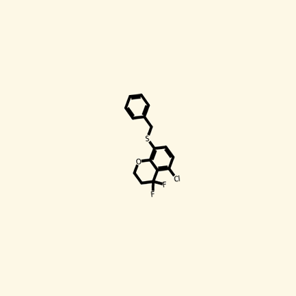 FC1(F)CCOc2c(SCc3ccccc3)ccc(Cl)c21